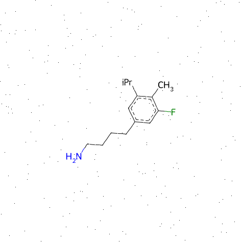 Cc1c(F)cc(CCCCN)cc1C(C)C